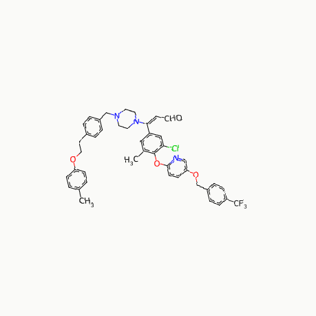 Cc1ccc(OCCc2ccc(CN3CCN(/C(=C/C=O)c4cc(C)c(Oc5ccc(OCc6ccc(C(F)(F)F)cc6)cn5)c(Cl)c4)CC3)cc2)cc1